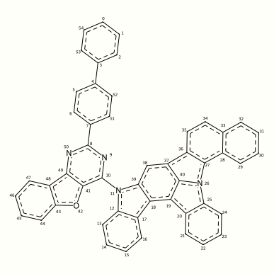 c1ccc(-c2ccc(-c3nc(-n4c5ccccc5c5c6c7ccccc7n7c8c9ccccc9ccc8c(cc54)c67)c4oc5ccccc5c4n3)cc2)cc1